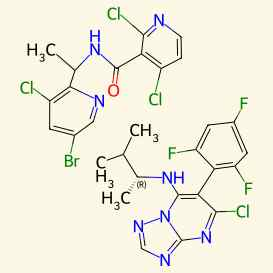 CC(C)[C@@H](C)Nc1c(-c2c(F)cc(F)cc2F)c(Cl)nc2ncnn12.CC(NC(=O)c1c(Cl)ccnc1Cl)c1ncc(Br)cc1Cl